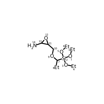 CCO[Si](OCC)(OCC)C(CC)OCC1OC1N